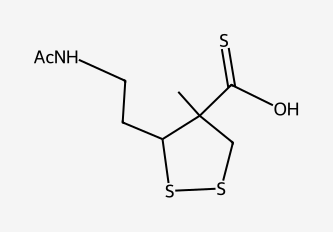 CC(=O)NCCC1SSCC1(C)C(O)=S